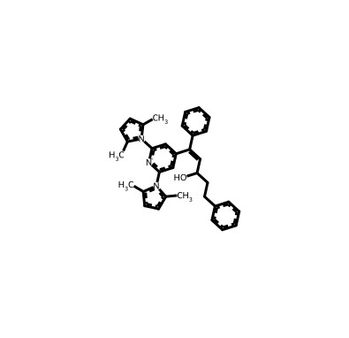 Cc1ccc(C)n1-c1cc(/C(=C\C(O)CCc2ccccc2)c2ccccc2)cc(-n2c(C)ccc2C)n1